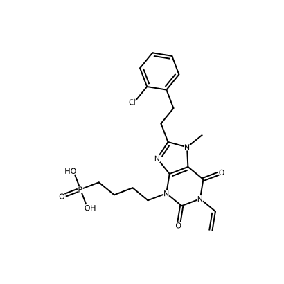 C=Cn1c(=O)c2c(nc(CCc3ccccc3Cl)n2C)n(CCCCP(=O)(O)O)c1=O